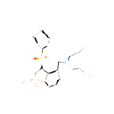 Cl.O=S(=O)(c1ccccc1)C1CS(O)(O)c2cccc(CN(CCO)CCO)c21